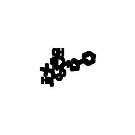 CNC(=O)[C@@H](NC(=O)[C@@H](CC(=O)O)n1ccc(-c2ccccc2)c1)C(C)(C)C